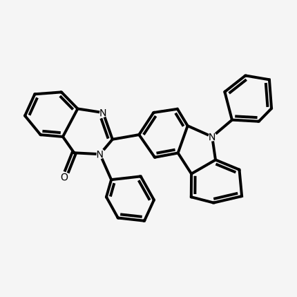 O=c1c2ccccc2nc(-c2ccc3c(c2)c2ccccc2n3-c2ccccc2)n1-c1ccccc1